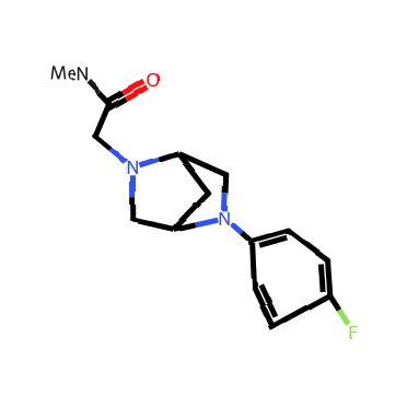 CNC(=O)CN1CC2CC1CN2c1ccc(F)cc1